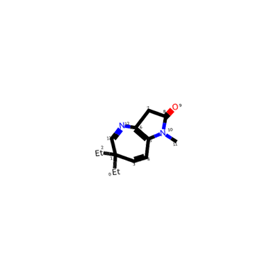 CCC1(CC)C=CC2=C(CC(=O)N2C)N=C1